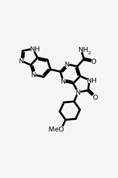 COC1CCC(n2c(=O)[nH]c3c(C(N)=O)nc(-c4cnc5nc[nH]c5c4)nc32)CC1